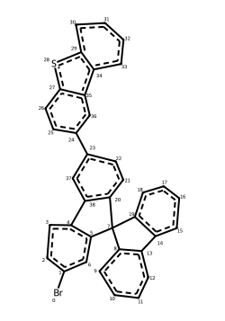 Brc1ccc2c(c1)C1(c3ccccc3-c3ccccc31)c1ccc(-c3ccc4sc5ccccc5c4c3)cc1-2